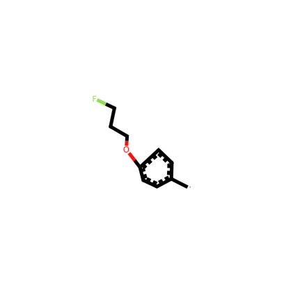 [CH2]c1ccc(OCCCF)cc1